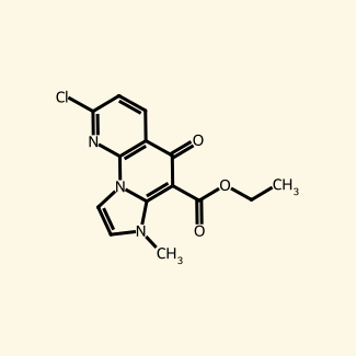 CCOC(=O)c1c(=O)c2ccc(Cl)nc2n2ccn(C)c12